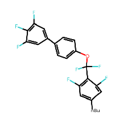 CCCCc1cc(F)c(C(F)(F)Oc2ccc(-c3cc(F)c(F)c(F)c3)cc2)c(F)c1